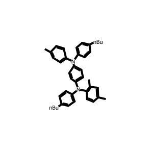 CCCCc1ccc(N(c2ccc(C)cc2)c2ccc(N(c3ccc(CCCC)cc3)c3ccc(C)cc3C)cc2)cc1